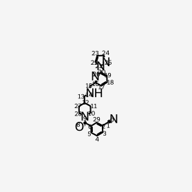 N#Cc1cccc(C(=O)N2CCC(CNCc3cccc(-n4cccn4)n3)CC2)c1